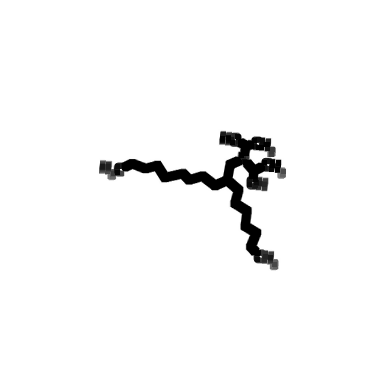 CCCCCCCCCC(CCCCCCC)CN(C(C)O)C(C)O